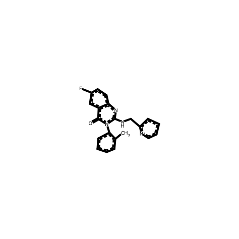 Cc1ccccc1-n1c(NCc2ccccn2)nc2ccc(F)cc2c1=O